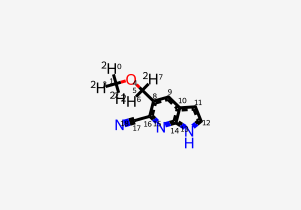 [2H]C([2H])([2H])OC([2H])([2H])c1cc2cc[nH]c2nc1C#N